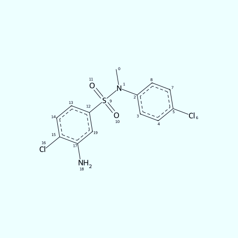 CN(c1ccc(Cl)cc1)S(=O)(=O)c1ccc(Cl)c(N)c1